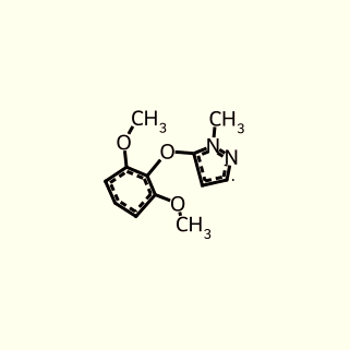 COc1cccc(OC)c1Oc1c[c]nn1C